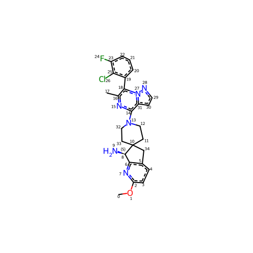 COc1ccc2c(n1)[C@@H](N)C1(CCN(c3nc(C)c(-c4cccc(F)c4Cl)n4nccc34)CC1)C2